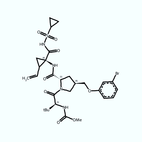 C=CC1C[C@]1(NC(=O)[C@@H]1C[C@@H](COc2cccc(Br)c2)CN1C(=O)[C@@H](NC(=O)OC)C(C)(C)C)C(=O)NS(=O)(=O)C1CC1